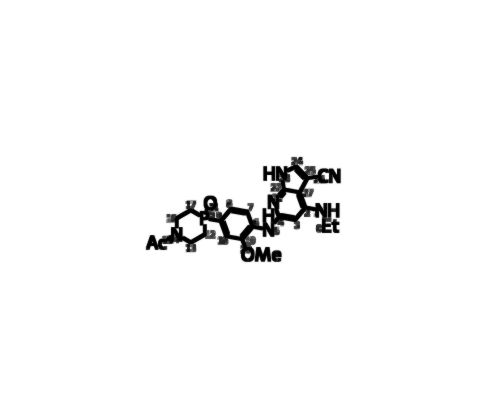 CCNc1cc(Nc2ccc(P3(=O)CCN(C(C)=O)CC3)cc2OC)nc2[nH]cc(C#N)c12